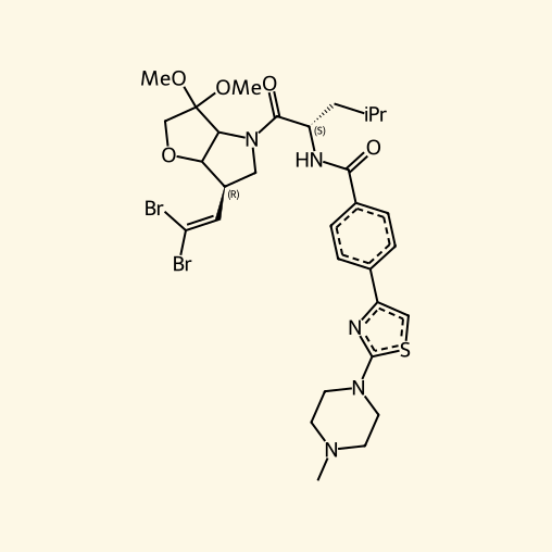 COC1(OC)COC2C1N(C(=O)[C@H](CC(C)C)NC(=O)c1ccc(-c3csc(N4CCN(C)CC4)n3)cc1)C[C@H]2C=C(Br)Br